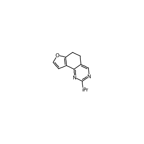 CC(C)c1ncc2c(n1)-c1ccoc1CC2